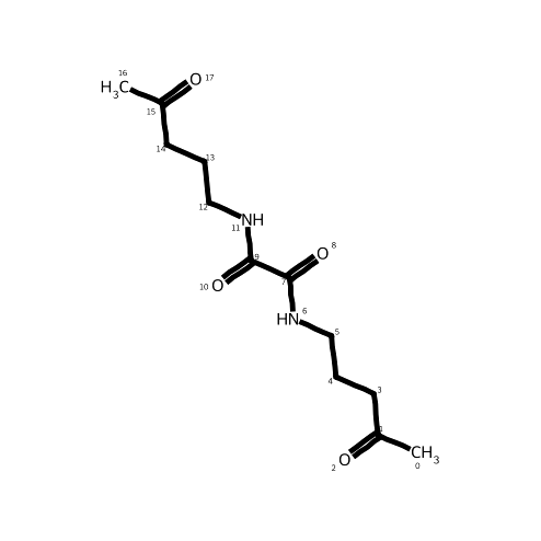 CC(=O)CCCNC(=O)C(=O)NCCCC(C)=O